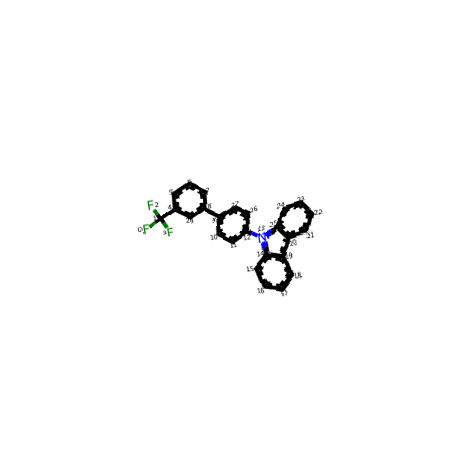 FC(F)(F)c1cccc(-c2ccc(-n3c4ccccc4c4ccccc43)cc2)c1